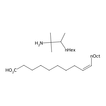 CCCCCCC(C)C(C)(C)N.CCCCCCCC/C=C\CCCCCCCC(=O)O